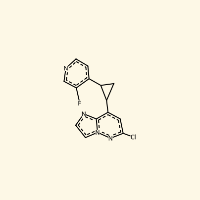 Fc1cnccc1C1CC1c1cc(Cl)nn2ccnc12